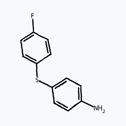 Nc1ccc(Sc2ccc(F)cc2)cc1